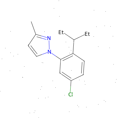 CCC(CC)c1ccc(Cl)cc1-n1ccc(C)n1